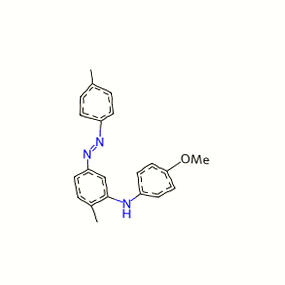 COc1ccc(Nc2cc(N=Nc3ccc(C)cc3)ccc2C)cc1